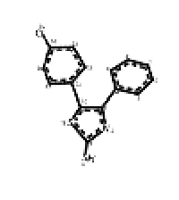 Sc1nc(-c2ccccc2)c(-c2ccc(Cl)cc2)s1